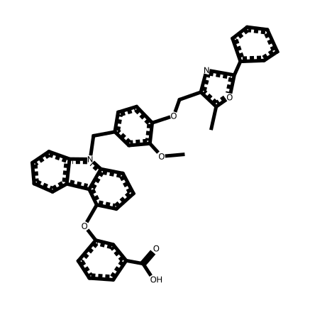 COc1cc(Cn2c3ccccc3c3c(Oc4cccc(C(=O)O)c4)cccc32)ccc1OCc1nc(-c2ccccc2)oc1C